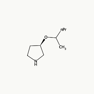 CCCC(C)O[C@@H]1CCNC1